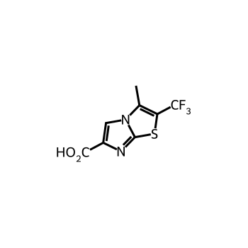 Cc1c(C(F)(F)F)sc2nc(C(=O)O)cn12